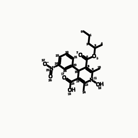 CCCC(C)OC(=O)C1=C(C)N(O)C(C)=C(C(=O)O)C1c1cccc([N+](=O)[O-])c1